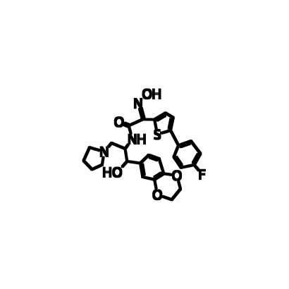 O=C(NC(CN1CCCC1)C(O)c1ccc2c(c1)OCCO2)/C(=N/O)c1ccc(-c2ccc(F)cc2)s1